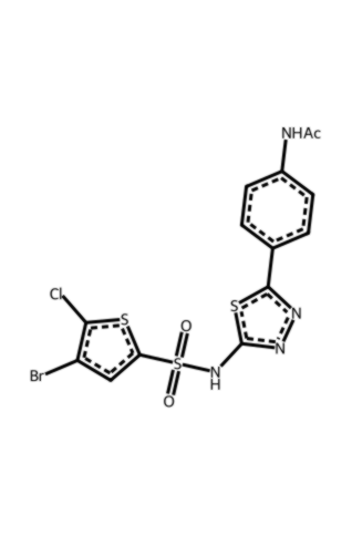 CC(=O)Nc1ccc(-c2nnc(NS(=O)(=O)c3cc(Br)c(Cl)s3)s2)cc1